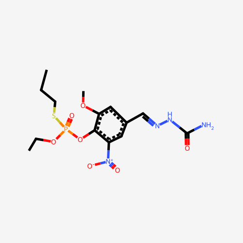 CCCSP(=O)(OCC)Oc1c(OC)cc(C=NNC(N)=O)cc1[N+](=O)[O-]